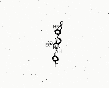 CCOc1nc(NCc2ccc(F)cc2)nc2ccc(-c3ccc4c(c3)CC(=O)N4)nc12